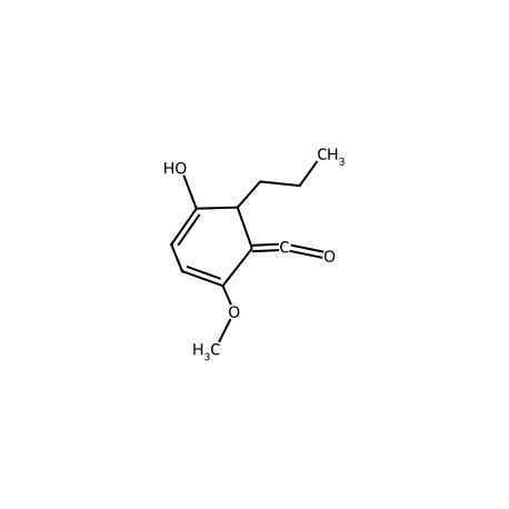 CCCC1C(=C=O)C(OC)=CC=C1O